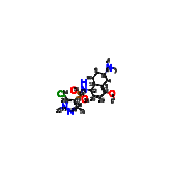 COC1=C2C[C@@H](N(C)C)CCC2C(NS(=O)(=O)c2c(C)nn(C)c2Cl)C=C1